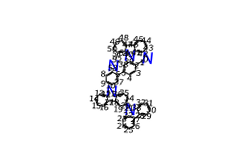 N#Cc1ccc(-c2cccc(-n3c4ccccc4c4cc(-n5c6ccccc6c6ccccc65)ccc43)c2)cc1-n1c2ccccc2c2cccc(C#N)c21